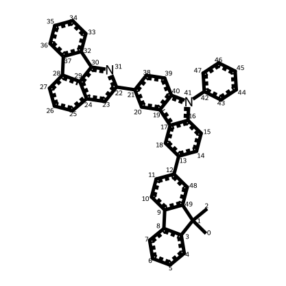 CC1(C)c2ccccc2-c2ccc(-c3ccc4c(c3)c3cc(-c5cc6cccc7c6c(n5)-c5ccccc5-7)ccc3n4-c3ccccc3)cc21